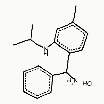 Cc1ccc(C(N)c2ccccc2)c(NC(C)C)c1.Cl